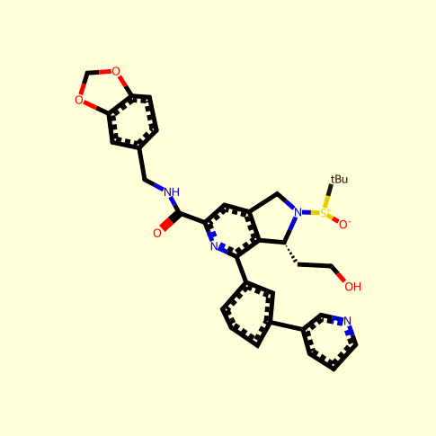 CC(C)(C)[S+]([O-])N1Cc2cc(C(=O)NCc3ccc4c(c3)OCO4)nc(-c3cccc(-c4cccnc4)c3)c2[C@H]1CCO